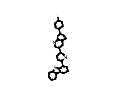 Ic1ccc(-c2ccc3cc(-c4ccc(-c5cccc6c5sc5ccccc56)nc4)cnc3c2)cc1